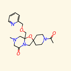 CC(=O)N1CCC2(CC1)CN1C(=O)CN(C)CC1(COCc1ccccn1)O2